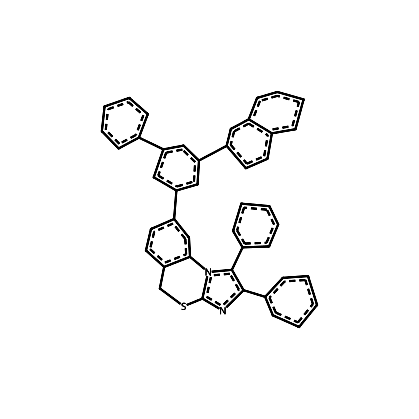 c1ccc(-c2cc(-c3ccc4c(c3)-n3c(nc(-c5ccccc5)c3-c3ccccc3)SC4)cc(-c3ccc4ccccc4c3)c2)cc1